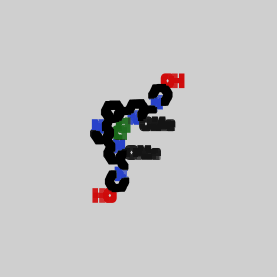 COc1nc(-c2cccc(-c3nccc(-c4ccc(CN5CCC(O)CC5)c(OC)n4)c3Cl)c2Cl)ccc1CN1CCC(O)CC1